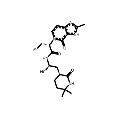 Cc1nc2ccn([C@@H](CC(C)C)C(=O)N[C@H](C#N)C[C@@H]3CCC(C)(C)NC3=O)c(=O)c2[nH]1